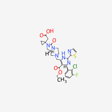 CCOC(=O)C1=C(CN2CCN3C(=O)N(C4(CC(=O)O)CC4)C[C@H]3C2)NC(c2nccs2)=N[C@H]1c1cccc(F)c1Cl